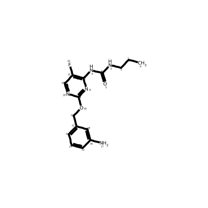 CCCNC(=O)Nc1nc(OCc2cccc(N)c2)ncc1F